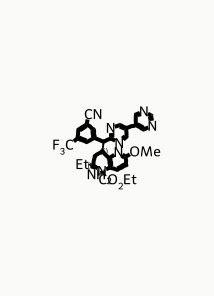 CCOC(=O)N1c2ccc(OC)nc2[C@H](C(c2cc(C#N)cc(C(F)(F)F)c2)c2ncc(-c3cncnc3)cn2)C[C@@]1(N)CC